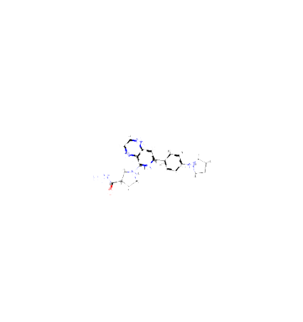 NC(=O)C1CCN(c2nc(-c3ccc(N4CCCC4)cc3)cc3nccnc23)C1